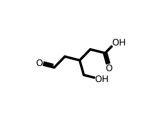 O=CCC(CO)CC(=O)O